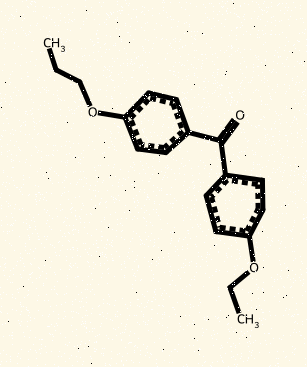 CCCOc1ccc(C(=O)c2ccc(OCC)cc2)cc1